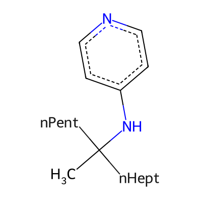 CCCCCCCC(C)(CCCCC)Nc1ccncc1